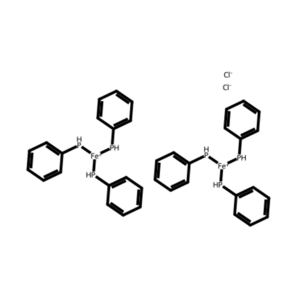 [Cl-].[Cl-].c1ccc([PH][Fe+]([PH]c2ccccc2)[PH]c2ccccc2)cc1.c1ccc([PH][Fe+]([PH]c2ccccc2)[PH]c2ccccc2)cc1